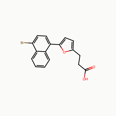 O=C(O)CCc1ccc(-c2ccc(Br)c3ccccc23)o1